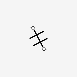 CC(C)([O])C(C)(C)[O]